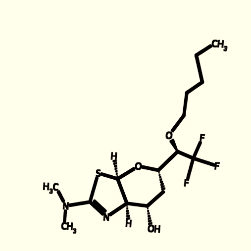 CCCCCO[C@H]([C@@H]1C[C@H](O)[C@H]2N=C(N(C)C)S[C@H]2O1)C(F)(F)F